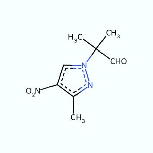 Cc1nn(C(C)(C)C=O)cc1[N+](=O)[O-]